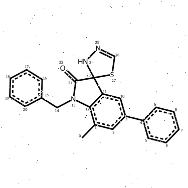 Cc1cc(-c2ccccc2)cc2c1N(Cc1ccccc1)C(=O)C21NN=CS1